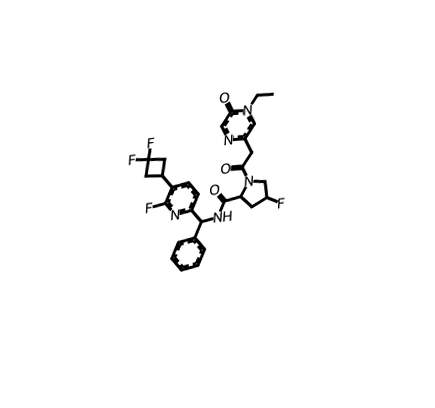 CCn1cc(CC(=O)N2CC(F)CC2C(=O)NC(c2ccccc2)c2ccc(C3CC(F)(F)C3)c(F)n2)ncc1=O